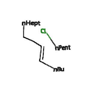 CCCCC=CCCCCCCCC.CCCCCCl